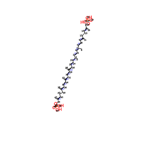 CC(/C=C/C=C(C)/C=C/C=C(\C)CC/C=C(\C)COP(=O)(O)O)=C\C=C\C=C(C)\C=C\C=C(C)\C=C\C=C(/C)CC/C=C(\C)COP(=O)(O)O